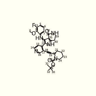 COc1c(F)cccc1Nc1c(-c2ccncc2C#CC2CCCCN2C(=O)OC(C)(C)C)[nH]c2c1C(=O)NCC2